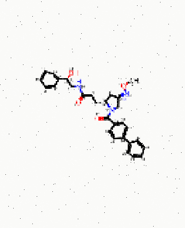 CO/N=C1\C[C@@H](CCC(=O)NC[C@H](O)c2ccccc2)N(C(=O)c2ccc(-c3ccccc3)cc2)C1